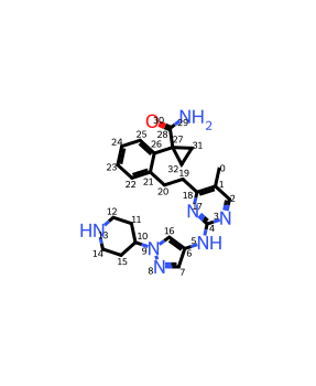 Cc1cnc(Nc2cnn(C3CCNCC3)c2)nc1CCc1ccccc1C1(C(N)=O)CC1